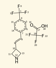 FC(F)(F)c1ccc(/C=C/C2CNC2)cc1.O=C(O)C(F)(F)F